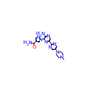 CN1CCN(c2cnc(-c3cnc(N)c(-n4cc(C(N)=O)cn4)n3)nc2)CC1